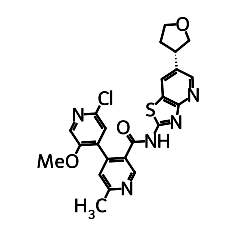 COc1cnc(Cl)cc1-c1cc(C)ncc1C(=O)Nc1nc2ncc([C@@H]3CCOC3)cc2s1